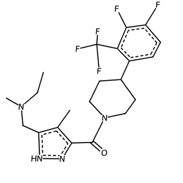 CCN(C)Cc1[nH]nc(C(=O)N2CCC(c3ccc(F)c(F)c3C(F)(F)F)CC2)c1C